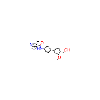 COc1cc(-c2ccc(NC(=O)[C@H]3CN4CCC3CC4)cc2)ccc1CO